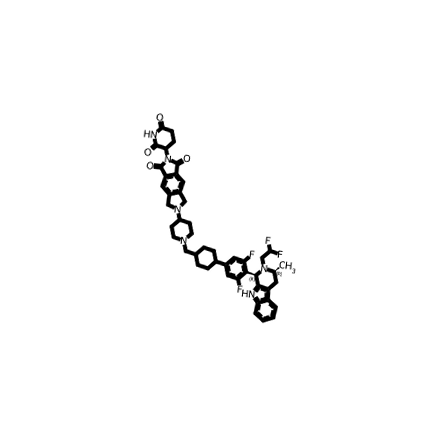 C[C@@H]1Cc2c([nH]c3ccccc23)[C@@H](c2c(F)cc(C3CCC(CN4CCC(N5Cc6cc7c(cc6C5)C(=O)N(C5CCC(=O)NC5=O)C7=O)CC4)CC3)cc2F)N1CC(F)F